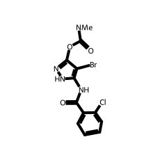 CNC(=O)Oc1n[nH]c(NC(=O)c2ccccc2Cl)c1Br